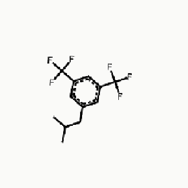 CC(C)Cc1cc(C(F)(F)F)cc(C(F)(F)F)c1